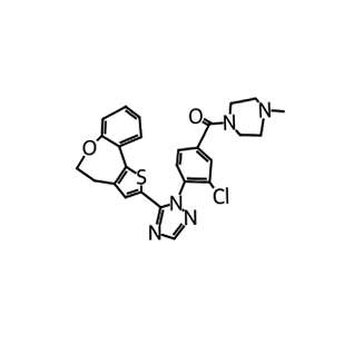 CN1CCN(C(=O)c2ccc(-n3ncnc3-c3cc4c(s3)-c3ccccc3OCC4)c(Cl)c2)CC1